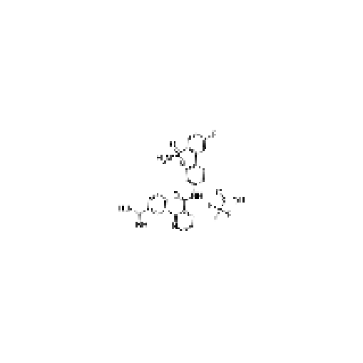 N=C(N)c1cccc(-c2ncccc2C(=O)Nc2ccc(-c3cc(F)ccc3S(N)(=O)=O)cc2)c1.O=C(O)C(F)(F)F